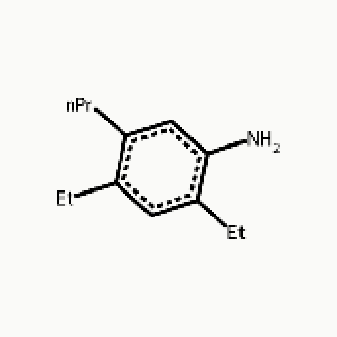 CCCc1cc(N)c(CC)cc1CC